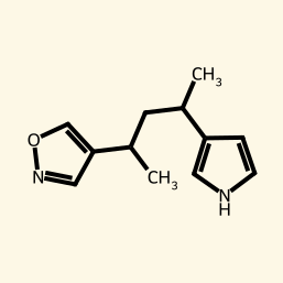 CC(CC(C)c1cnoc1)c1cc[nH]c1